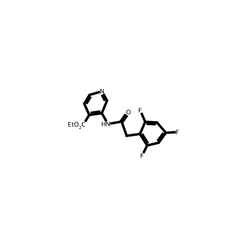 CCOC(=O)c1ccncc1NC(=O)Cc1c(F)cc(F)cc1F